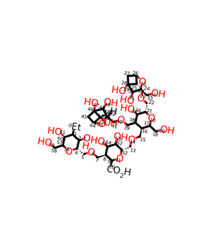 CCC1C(O)[C@H](COC[C@@H]2C(C(=O)O)O[C@@H](COC[C@@H]3C(CO)O[C@@H](COC[C@H]4C5CC4(O)C(O)[C@H](CO)O5)C(O)C3COC[C@@H]3OC4CC(O)(C3O)[C@@H]4O)C(O)C2O)OC(CO)[C@H]1O